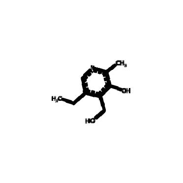 CCc1cnc(C)c(O)c1CO